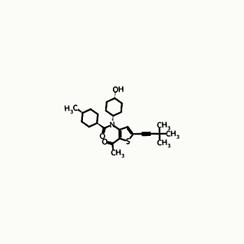 CC(=O)c1sc(C#CC(C)(C)C)cc1N(C(=O)[C@H]1CC[C@@H](C)CC1)[C@H]1CC[C@@H](O)CC1